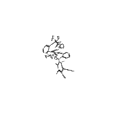 Cc1c(C)c(C)c(C(=O)c2ccccc2[P](=O)C(=O)c2c(C(F)(F)F)cccc2C(F)(F)F)c(C)c1C